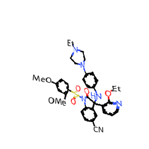 CCOc1ncccc1C1(Nc2ccc(N3CCN(CC)CC3)cc2)C(=O)N(S(=O)(=O)c2ccc(OC)cc2OC)c2ccc(C#N)cc21